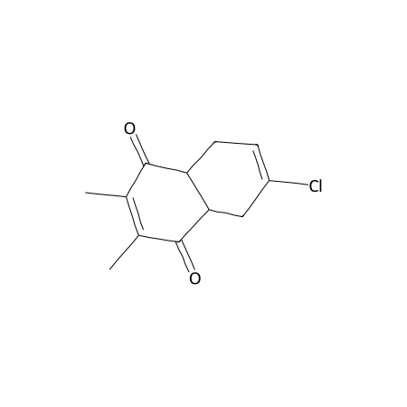 CC1=C(C)C(=O)C2CC(Cl)=CCC2C1=O